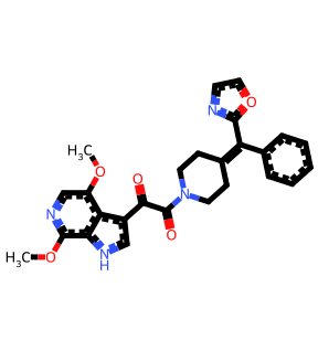 COc1ncc(OC)c2c(C(=O)C(=O)N3CCC(=C(c4ccccc4)c4ncco4)CC3)c[nH]c12